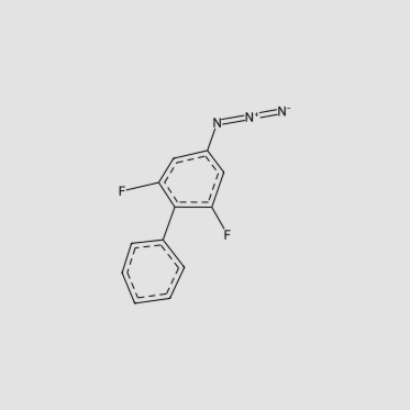 [N-]=[N+]=Nc1cc(F)c(-c2ccccc2)c(F)c1